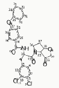 O=C(NC(Cc1ccc(Cl)c(Cl)c1)C(=O)N1CCC2OCC(=O)C21)c1ccc(Oc2ccccc2)cc1